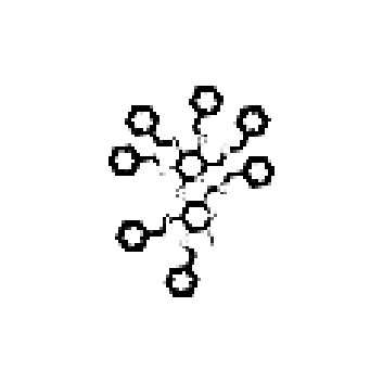 F[C@H]1O[C@H](COCc2ccccc2)[C@@H](O[C@@H]2O[C@H](COCc3ccccc3)[C@H](OCc3ccccc3)[C@H](OCc3ccccc3)[C@H]2OCc2ccccc2)[C@H](OCc2ccccc2)[C@H]1OCc1ccccc1